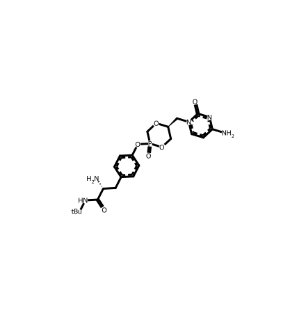 CC(C)(C)NC(=O)[C@H](N)Cc1ccc(OP2(=O)CO[C@@H](Cn3ccc(N)nc3=O)CO2)cc1